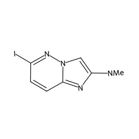 CNc1cn2nc(I)ccc2n1